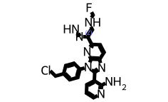 N=N/C(=C\NCF)c1ccc2nc(-c3cccnc3N)n(-c3ccc(CCl)cc3)c2n1